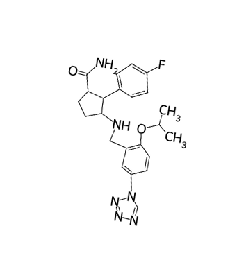 CC(C)Oc1ccc(-n2cnnn2)cc1CNC1CCC(C(N)=O)C1c1ccc(F)cc1